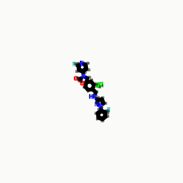 Cl.Cl.O=C1OC2(CCC(CNc3ccn(-c4ccccc4F)n3)CC2)CN1c1ccnc(F)c1